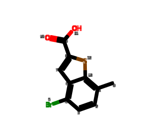 Cc1ccc(Br)c2cc(C(=O)O)sc12